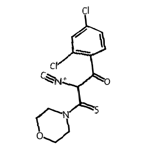 [C-]#[N+]C(C(=O)c1ccc(Cl)cc1Cl)C(=S)N1CCOCC1